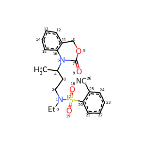 CCN(CCC(C)N1C(=O)OCc2ccccc21)S(=O)(=O)c1ccccc1C#N